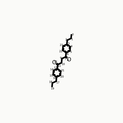 CCCc1ccc(C(=O)CCC(=O)c2ccc(CCC)cc2)cc1